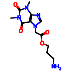 Cn1c(=O)c2c(ncn2CC(=O)OCCCN)n(C)c1=O